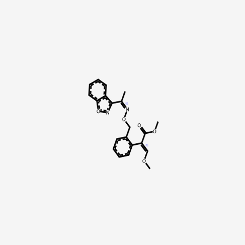 CO/C=C(/C(=O)OC)c1ccccc1CO/N=C(/C)c1noc2ccccc12